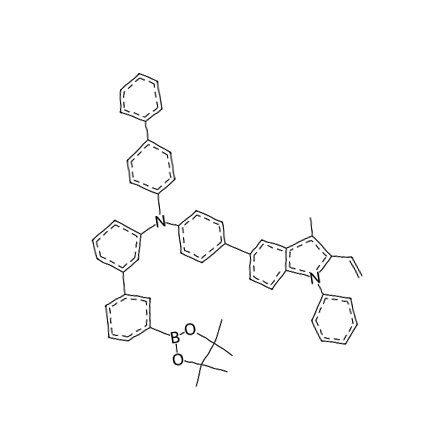 C=Cc1c(C)c2cc(-c3ccc(N(c4ccc(-c5ccccc5)cc4)c4cccc(-c5cccc(B6OC(C)(C)C(C)(C)O6)c5)c4)cc3)ccc2n1-c1ccccc1